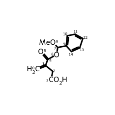 C=C(CC(=O)O)C(=O)OC(OC)c1ccccc1